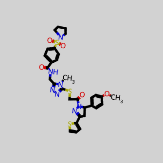 COc1ccc(C2CC(c3cccs3)=NN2C(=O)CSc2nnc(CNC(=O)c3ccc(S(=O)(=O)N4CCCC4)cc3)n2C)cc1